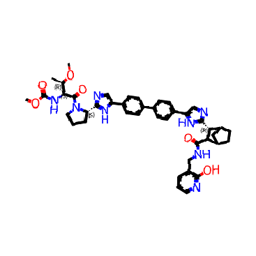 COC(=O)N[C@H](C(=O)N1CCC[C@H]1c1ncc(-c2ccc(-c3ccc(-c4cnc([C@@H]5C6CCC(C6)C5C(=O)NCc5cccnc5O)[nH]4)cc3)cc2)[nH]1)[C@@H](C)OC